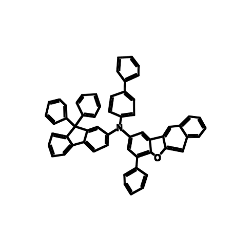 c1ccc(-c2ccc(N(c3ccc4c(c3)C(c3ccccc3)(c3ccccc3)c3ccccc3-4)c3cc(-c4ccccc4)c4oc5cc6ccccc6cc5c4c3)cc2)cc1